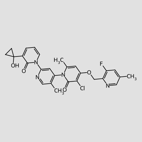 Cc1cnc(COc2cc(C)n(-c3cc(-n4cccc(C5(O)CC5)c4=O)ncc3C)c(=O)c2Cl)c(F)c1